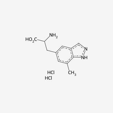 Cc1cc(CC(N)C(=O)O)cc2cn[nH]c12.Cl.Cl